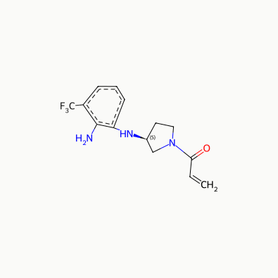 C=CC(=O)N1CC[C@H](Nc2cccc(C(F)(F)F)c2N)C1